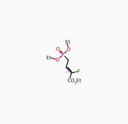 CCOC(=O)/C(F)=C/CP(=O)(OCC)OCC